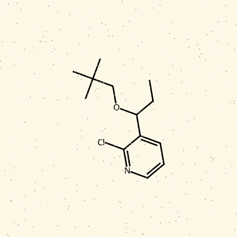 CCC(OCC(C)(C)C)c1cccnc1Cl